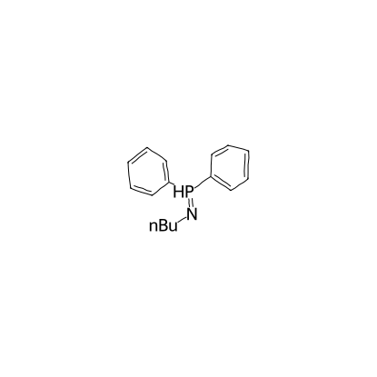 CCCCN=[PH](c1ccccc1)c1ccccc1